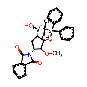 CO[C@@H]1[C@H](O[Si](c2ccccc2)(c2ccccc2)C(C)(C)C)[C@@H](CO)C[C@H]1N1C(=O)c2ccccc2C1=O